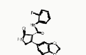 O=C1NC[C@H](c2ccc3c(c2)OCO3)[C@H]1C(=O)Nc1ccccc1F